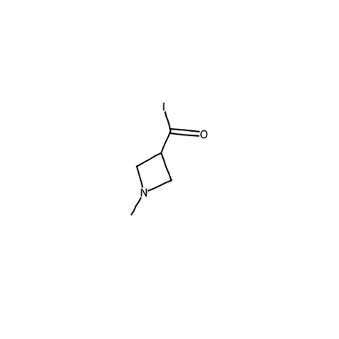 CN1CC(C(=O)I)C1